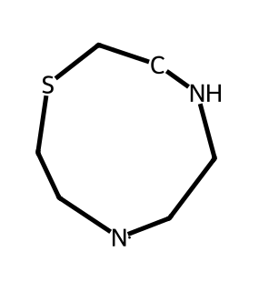 C1CNCCSCC[N]1